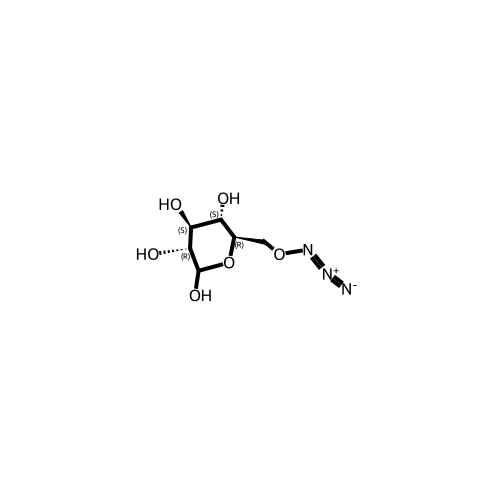 [N-]=[N+]=NOC[C@H]1OC(O)[C@H](O)[C@@H](O)[C@@H]1O